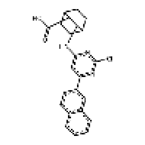 O=C(O)C1C2CCC(CC2)C1Nc1cc(-c2ccc3ccccc3c2)nc(Cl)n1